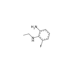 CCNc1c(N)cccc1F